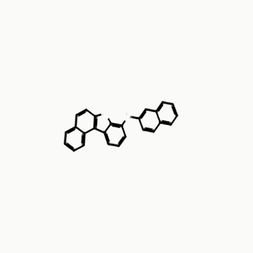 c1ccc2cc(Nc3cccc4c3oc3ccc5ccccc5c34)ccc2c1